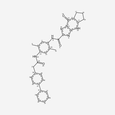 Cc1cc(NC(=O)c2nc3[nH]c4c(c(=O)n3n2)CCC4)c(C)cc1NC(=O)Cc1ccc(-c2ccccc2)cc1